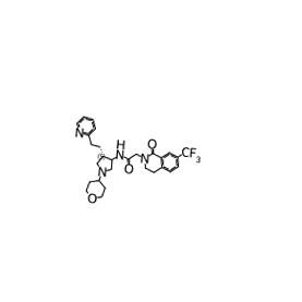 O=C(CN1CCc2ccc(C(F)(F)F)cc2C1=O)NC1CN(C2CCOCC2)C[C@@H]1CCc1ccccn1